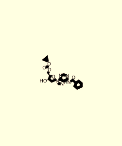 O=C(OC[C@H]1O[C@@H](n2cnc3c(NC(=O)c4ccccc4)ncnc32)C[C@@H]1O)OC1CC1